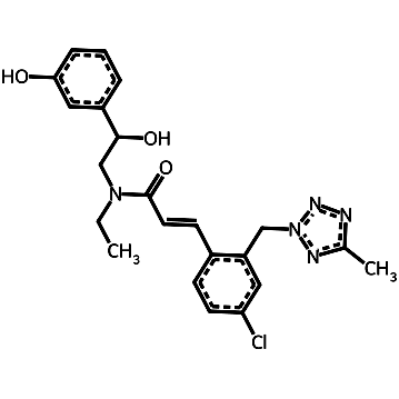 CCN(CC(O)c1cccc(O)c1)C(=O)/C=C/c1ccc(Cl)cc1Cn1nnc(C)n1